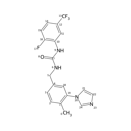 Cc1ccc(CNC(=O)Nc2cc(C(F)(F)F)ccc2F)cc1-n1ccnc1